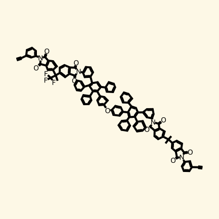 C#Cc1cccc(N2C(=O)c3ccc(C(C)(C)c4ccc5c(c4)C(=O)N(c4cccc(-c6cc(-c7ccccc7)c(-c7ccc(Oc8ccc(-c9c(-c%10ccccc%10)cc(-c%10cccc(N%11C(=O)c%12ccc(C(C)(c%13ccc%14c(c%13)C(=O)N(c%13cccc(C#C)c%13)C%14=O)C(F)(F)F)cc%12C%11=O)c%10)c(-c%10ccccc%10)c9-c9ccccc9)cc8)cc7)c(-c7ccccc7)c6-c6ccccc6)c4)C5=O)cc3C2=O)c1